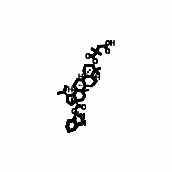 C=C(C)[C@@H]1CC[C@]2(C(=O)On3nnc4ccccc43)CC[C@]3(C)[C@H](CC[C@@H]4[C@@]5(C)CC[C@H](OC(=O)C(C)(C)CC(=O)O)C(C)(C)[C@@H]5CC[C@]43C)[C@@H]12